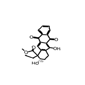 CCC1(C(=O)OC)c2cc3c(c(O)c2CC[C@@H]1O)C(=O)c1ccccc1C3=O